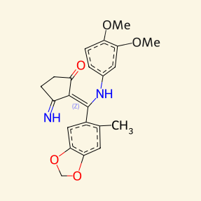 COc1ccc(N/C(=C2/C(=N)CCC2=O)c2cc3c(cc2C)OCO3)cc1OC